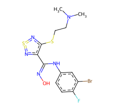 CN(C)CCSc1nsnc1/C(=N/O)Nc1ccc(F)c(Br)c1